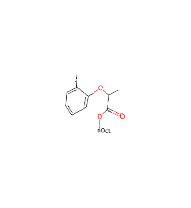 CCCCCCCCOC(=O)C(C)Oc1ccccc1C